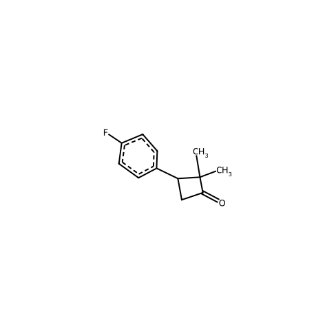 CC1(C)C(=O)CC1c1ccc(F)cc1